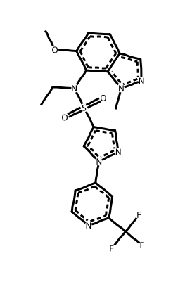 CCN(c1c(OC)ccc2cnn(C)c12)S(=O)(=O)c1cnn(-c2ccnc(C(F)(F)F)c2)c1